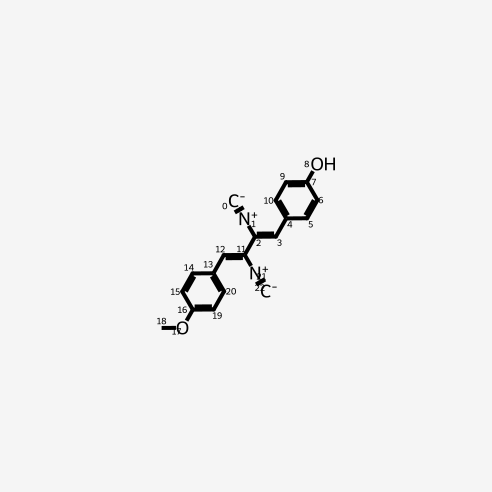 [C-]#[N+]C(=Cc1ccc(O)cc1)C(=Cc1ccc(OC)cc1)[N+]#[C-]